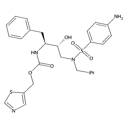 CC(C)CN(C[C@@H](O)[C@H](Cc1ccccc1)NC(=O)OCc1cncs1)S(=O)(=O)c1ccc(N)cc1